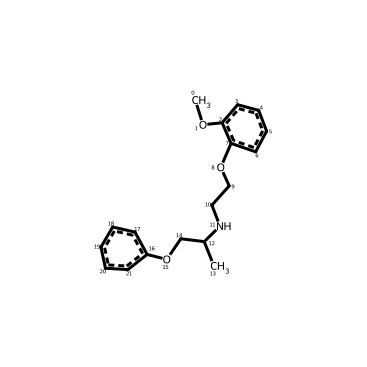 COc1ccccc1OCCNC(C)COc1ccccc1